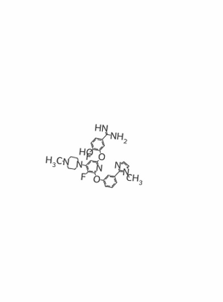 CN1CCN(c2c(F)c(Oc3cccc(-c4nccn4C)c3)nc(Oc3cc(C(=N)N)ccc3O)c2F)CC1